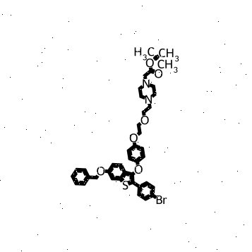 CC(C)(C)OC(=O)CN1CCN(CCOCCOc2ccc(Oc3c(-c4ccc(Br)cc4)sc4cc(OCc5ccccc5)ccc34)cc2)CC1